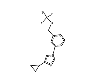 CCC(F)(F)OCc1cccc(-n2cnc(C3CC3)c2)c1